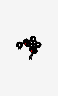 N#Cc1ccc(-c2cccc3c2C(c2ccccc2)(c2ccccc2)c2c(-c4ccc(-c5cccnc5)cc4)cccc2-3)cc1